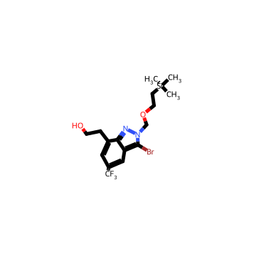 C[Si](C)(C)CCOCn1nc2c(CCO)cc(C(F)(F)F)cc2c1Br